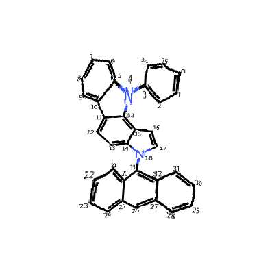 c1ccc(-n2c3ccccc3c3ccc4c(ccn4-c4c5ccccc5cc5ccccc45)c32)cc1